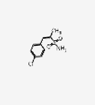 CC(=Cc1ccc(Cl)cc1)S(N)(=O)=O